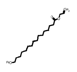 C=CCOC(=O)CCCCCCCCCCCCCCCO